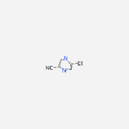 CCc1cnc(C#N)cn1